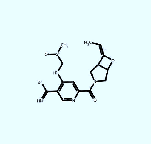 C/C=C1/OC2CN(C(=O)c3cc(NC[S+](C)[O-])c(C(=N)Br)cn3)CC12